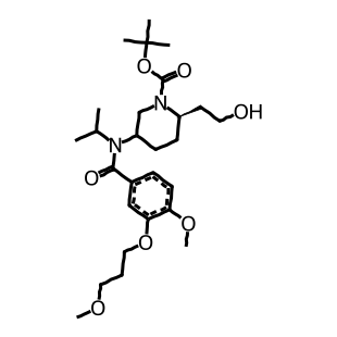 COCCCOc1cc(C(=O)N(C(C)C)C2CC[C@H](CCO)N(C(=O)OC(C)(C)C)C2)ccc1OC